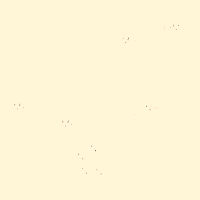 COc1ccc(CCNC(=O)Oc2cc(-c3cccc(OC)c3OC)cc(-n3cnnn3)c2)cc1OC